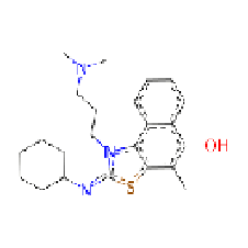 Cc1c(O)c2ccccc2c2c1sc(=NC1CCCCC1)n2CCCN(C)C